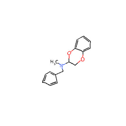 CN(Cc1ccccc1)C1COc2ccccc2O1